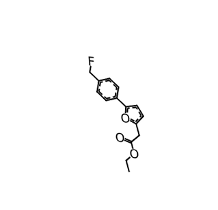 CCOC(=O)Cc1ccc(-c2ccc(CF)cc2)o1